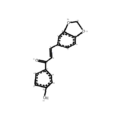 O=C(/C=C/c1ccc2c(c1)OCO2)c1ccc(O)cc1